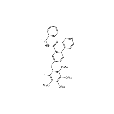 COc1c(C)c(Cc2ccc(-c3ccncc3)c(C(=O)N[C@H](C)c3ccccc3)c2)c(OC)c(OC)c1OC